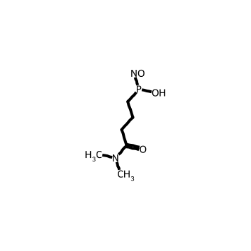 CN(C)C(=O)CCCP(O)N=O